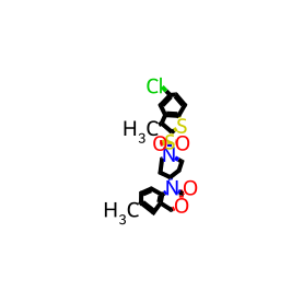 Cc1ccc2c(c1)COC(=O)N2C1CCN(S(=O)(=O)C2Sc3ccc(Cl)cc3C2C)CC1